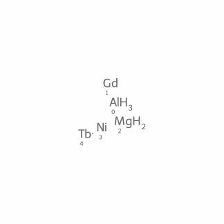 [AlH3].[Gd].[MgH2].[Ni].[Tb]